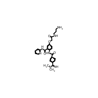 CN(C)C(=N)c1ccc(C(=O)Nc2ccc(OCC(=O)NCCCN)cc2C(=O)Nc2ccccn2)cc1